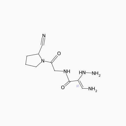 N#CC1CCCN1C(=O)CNC(=O)/C(=C/N)NN